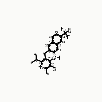 Cc1nc(C(C)C)c(Cc2ccc3cc(C(F)(F)F)ccc3c2)c(O)c1C